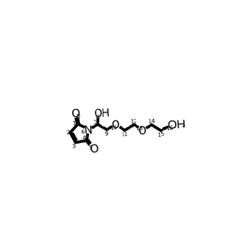 O=C1C=CC(=O)N1C(O)COCCOCCO